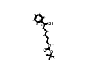 CC(C)(C)OC(=O)NCCCCCC(O)c1ccccc1